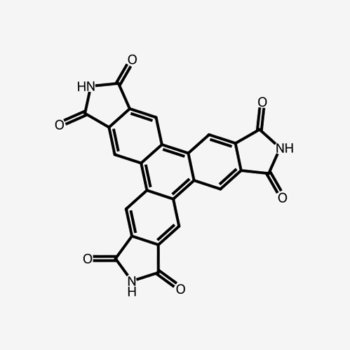 O=c1[nH]c(=O)c2cc3c(cc12)c1cc2c(=O)[nH]c(=O)c2cc1c1cc2c(=O)[nH]c(=O)c2cc31